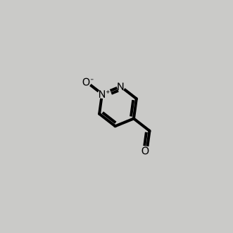 O=Cc1cc[n+]([O-])nc1